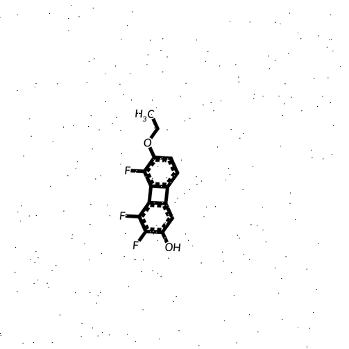 CCOc1ccc2c(c1F)-c1c-2cc(O)c(F)c1F